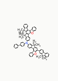 CC1(C)c2ccccc2-c2ccc(-c3cc4c(c5c3oc3ccccc35)-c3ccc(N(c5ccc(-c6ccccc6)cc5)c5ccc6c(c5)C(C)(C)c5c7c(c8c(oc9ccccc98)c5-6)-c5ccccc5C7(C)C)cc3C4(C)C)cc21